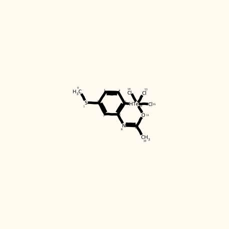 CSc1ccc2c(c1)N=C(C)O[TeH]2(Cl)(Cl)Cl